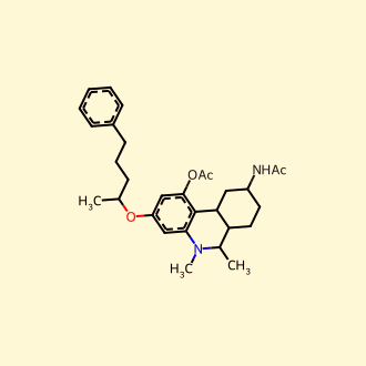 CC(=O)NC1CCC2C(C1)c1c(OC(C)=O)cc(OC(C)CCCc3ccccc3)cc1N(C)C2C